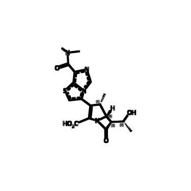 C[C@@H](O)[C@H]1C(=O)N2C(C(=O)O)=C(c3csc4c(C(=O)N(C)C)ncn34)[C@H](C)[C@H]12